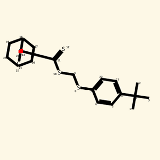 CC(C)(C)c1ccc(SCSC(=S)N2CC3CCC(CC3)C2)cc1